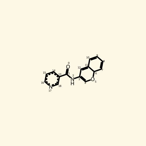 O=C(NC1=COC2C=CC=CC2=C1)c1cccnc1